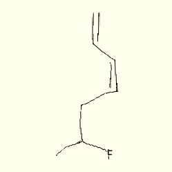 C=C/C=C\CC(C)F